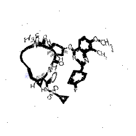 COc1ccc2c(O[C@@H]3C[C@H]4C(=O)N[C@]5(C(=O)NS(=O)(=O)C6CC6)C[C@H]5/C=C\CCCCN(C)C(=O)[C@@H]4C3)nc(-c3ccc(F)cc3)nc2c1C